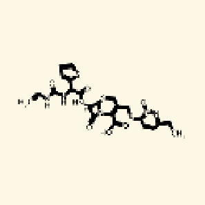 C=CNC(=O)NC(C(=O)N[C@@H]1C(=O)N2C(C(=O)O)=C(CSc3ccc(CC)n[n+]3[O-])CSC12)c1cccs1